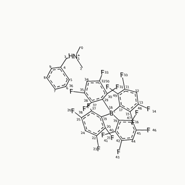 C[NH+](C)Cc1ccccc1.Fc1cc(F)c(F)c([B-](c2c(F)c(F)cc(F)c2F)(c2c(F)c(F)cc(F)c2F)c2c(F)c(F)cc(F)c2F)c1F